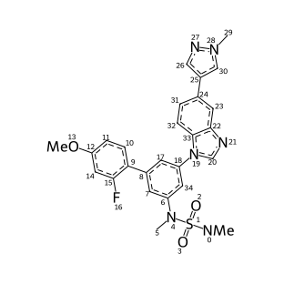 CNS(=O)(=O)N(C)c1cc(-c2ccc(OC)cc2F)cc(-n2cnc3cc(-c4cnn(C)c4)ccc32)c1